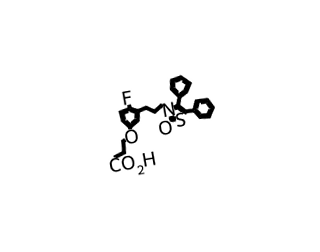 O=C(O)CCCOc1ccc(F)c(CCCn2c(-c3ccccc3)c(-c3ccccc3)sc2=O)c1